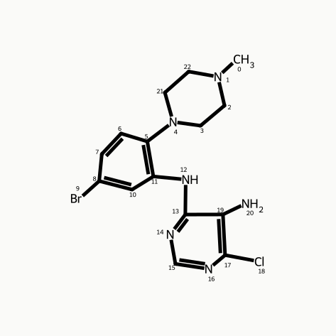 CN1CCN(c2ccc(Br)cc2Nc2ncnc(Cl)c2N)CC1